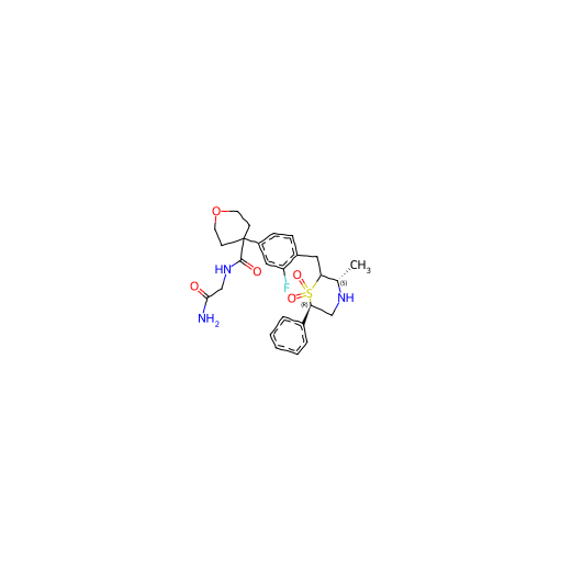 C[C@@H]1NC[C@@H](c2ccccc2)S(=O)(=O)C1Cc1ccc(C2(C(=O)NCC(N)=O)CCOCC2)cc1F